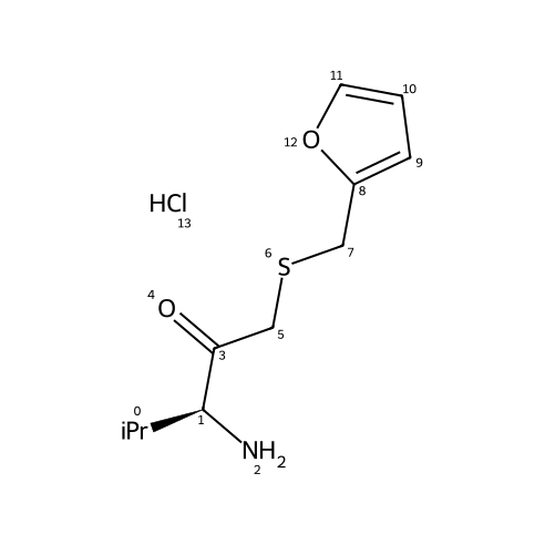 CC(C)[C@H](N)C(=O)CSCc1ccco1.Cl